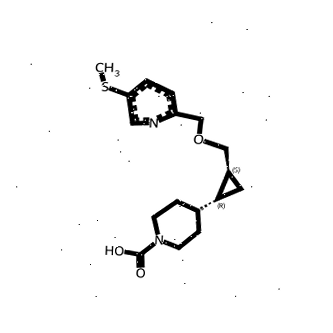 CSc1ccc(COC[C@H]2C[C@@H]2C2CCN(C(=O)O)CC2)nc1